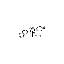 C[C@H](NC(=O)c1ccc2ccccc2c1)C(=O)N1CCC2(CC1)CC2